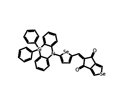 O=C1C(=Cc2ccc(N3c4ccccc4[Si](c4ccccc4)(c4ccccc4)c4ccccc43)[se]2)C(=O)c2c[se]cc21